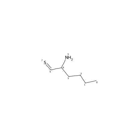 CCCCC(N)[C]=S